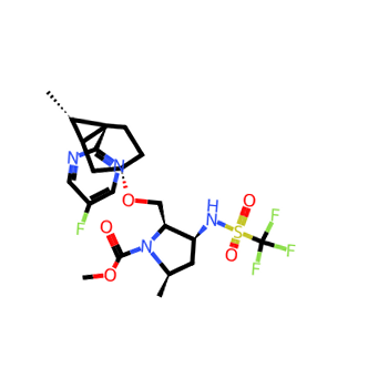 COC(=O)N1[C@H](C)C[C@H](NS(=O)(=O)C(F)(F)F)[C@@H]1CO[C@H]1CC[C@]2(c3ncc(F)cn3)C(C1)[C@@H]2C